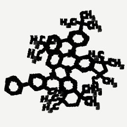 Cc1cc(-c2ccccc2)ccc1N1c2cc3c(cc2B2c4cc5c(cc4N(c4ccc(C(C)(C)C)cc4-c4ccccc4)c4cc(C(C)(C)C)cc1c42)C(C)(C)CC5(C)C)C(C)(C)CCC3(C)C